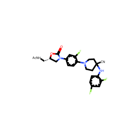 CC(=O)NC[C@H]1CN(c2ccc(N3CCC(C#N)(Nc4ccc(F)cc4F)CC3)c(F)c2)C(=O)O1